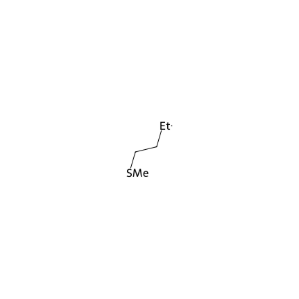 C[CH]CCSC